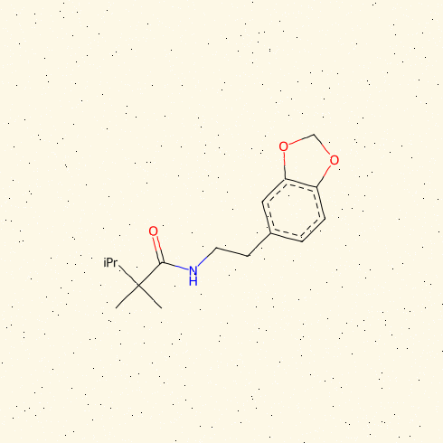 CC(C)C(C)(C)C(=O)NCCc1ccc2c(c1)OCO2